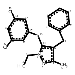 CCn1nc(C)c(Cc2ccccc2)c1Sc1cc(Cl)cc(Cl)c1